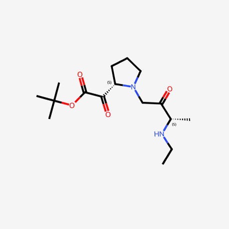 CCN[C@@H](C)C(=O)CN1CCC[C@H]1C(=O)C(=O)OC(C)(C)C